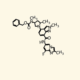 Cc1cn2cc(NC(=O)c3ccc(N4CC(N(C)C(=O)OCc5ccccc5)C[C@H]4C)c4cn(C)nc34)cc(F)c2n1